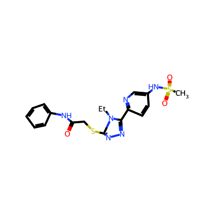 CCn1c(SCC(=O)Nc2ccccc2)nnc1-c1ccc(NS(C)(=O)=O)cn1